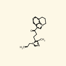 C=CCn1cnc(C)c1CCC(=O)c1cn2c3c(cccc13)CCC2